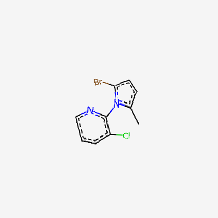 Cc1ccc(Br)n1-c1ncccc1Cl